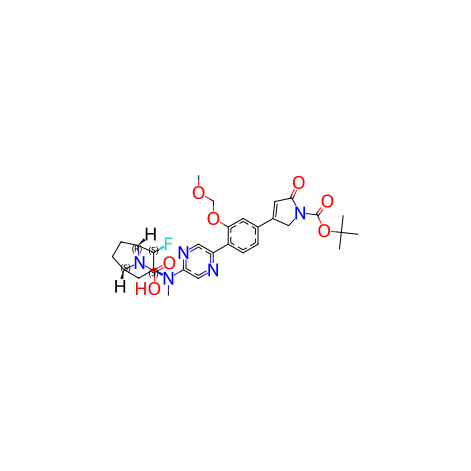 COCOc1cc(C2=CC(=O)N(C(=O)OC(C)(C)C)C2)ccc1-c1cnc(N(C)[C@H]2C[C@@H]3CC[C@H]([C@H]2F)N3C(=O)O)cn1